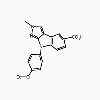 CCOc1ccc(-n2c3ccc(C(=O)O)cc3c3cn(C)nc32)cc1